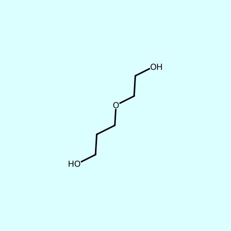 OCCCOCCO